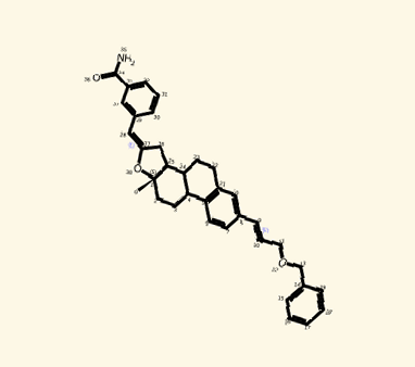 C[C@]12CCC3c4ccc(/C=C/COCc5ccccc5)cc4CCC3C1C/C(=C\c1cccc(C(N)=O)c1)O2